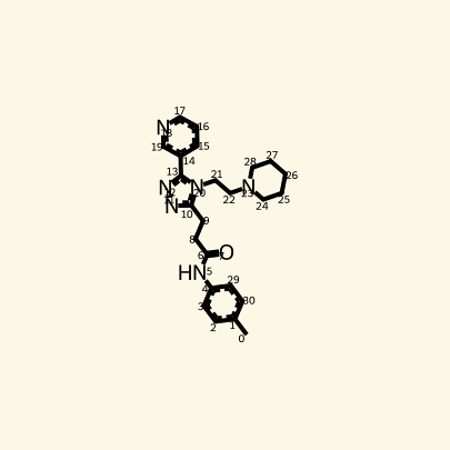 Cc1ccc(NC(=O)CCc2nnc(-c3cccnc3)n2CCN2CCCCC2)cc1